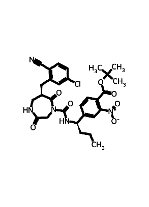 CCC[C@@H](NC(=O)N1CC(=O)NC[C@@H](Cc2cc(Cl)ccc2C#N)C1=O)c1ccc(C(=O)OC(C)(C)C)c([N+](=O)[O-])c1